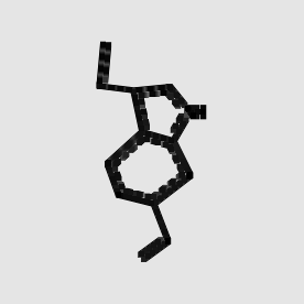 C=Cc1ccc2c(C=C)c[nH]c2c1